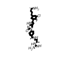 C[C@H](N)CCCc1cc(Cl)c(F)c(-c2cc3cn(-c4ccc([C@H](C)NCC[C@@H](C)NC(=N)N)cc4)c(=O)nc3[nH]2)c1